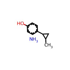 CC1CC1c1ccc(O)cc1.N